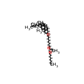 CCCCCCCCOC[C@@H](CC)OCCCCCCCCO[C@H]1CC[C@@]2(C)C(=CC[C@H]3[C@@H]4CC[C@H]([C@H](C)CCCC(C)C)[C@@]4(C)CC[C@@H]32)C1